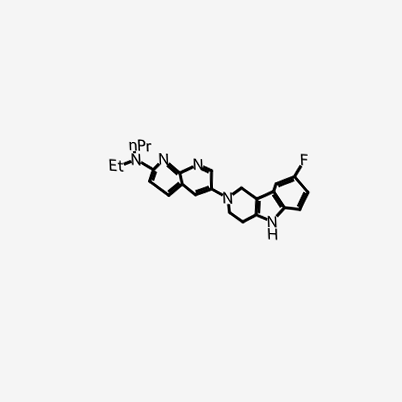 CCCN(CC)c1ccc2cc(N3CCc4[nH]c5ccc(F)cc5c4C3)cnc2n1